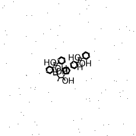 CC(O)C(C)C(O)c1ccccc1.O[PH](O)(c1ccccc1)c1ccccc1.O[PH](O)(c1ccccc1)c1ccccc1